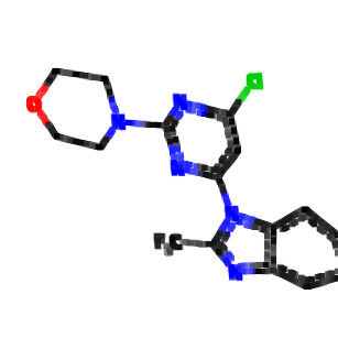 FC(F)(F)c1nc2ccccc2n1-c1cc(Cl)nc(N2CCOCC2)n1